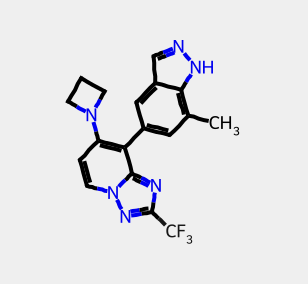 Cc1cc(-c2c(N3CCC3)ccn3nc(C(F)(F)F)nc23)cc2cn[nH]c12